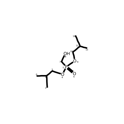 CC(C)COP(=O)(CO)OCC(C)C